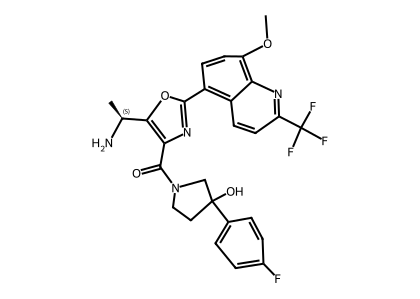 COc1ccc(-c2nc(C(=O)N3CCC(O)(c4ccc(F)cc4)C3)c([C@H](C)N)o2)c2ccc(C(F)(F)F)nc12